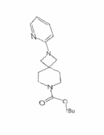 CC(C)(C)OC(=O)N1CCC2(CC1)CN(c1ccccn1)C2